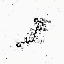 CN[C@H](C(=O)N[C@H](C(=O)N(C)[C@H](/C=C(\C)C(=O)N[C@H](CCC(=O)NCCN1C(=O)C=CC1=O)C(=O)O)C(C)C)C(C)(C)C)C(C)(C)c1cccs1